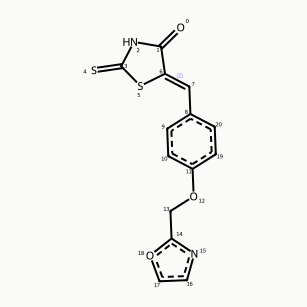 O=C1NC(=S)S/C1=C\c1ccc(OCc2ncco2)cc1